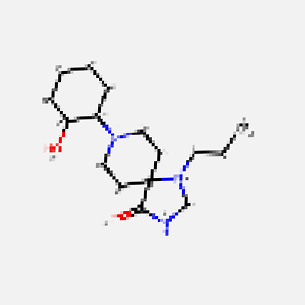 O=C1NCN(CCC(F)(F)F)C12CCN(C1CCCCC1O)CC2